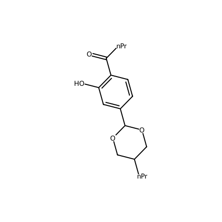 CCCC(=O)c1ccc(C2OCC(CCC)CO2)cc1O